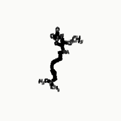 COC1=NS(=O)(=O)N=C1NCCCC#CCN(C)C